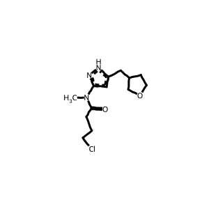 CN(C(=O)CCCCl)c1cc(CC2CCOC2)[nH]n1